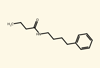 CCCC(=O)NCCCCc1ccccc1